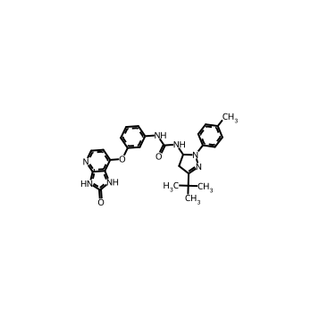 Cc1ccc(N2N=C(C(C)(C)C)CC2NC(=O)Nc2cccc(Oc3ccnc4[nH]c(=O)[nH]c34)c2)cc1